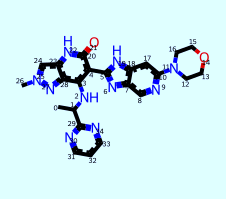 CC(Nc1c(-c2nc3cnc(N4CCOCC4)cc3[nH]2)c(=O)[nH]c2cn(C)nc12)c1ncccn1